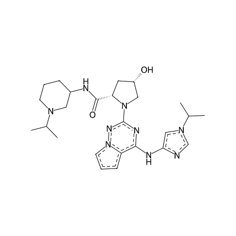 CC(C)N1CCCC(NC(=O)[C@@H]2C[C@H](O)CN2c2nc(Nc3cn(C(C)C)cn3)c3cccn3n2)C1